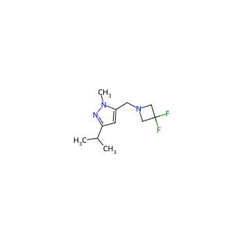 CC(C)c1cc(CN2CC(F)(F)C2)n(C)n1